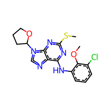 COc1c(Cl)cccc1Nc1nc(SC)nc2c1ncn2C1CCCO1